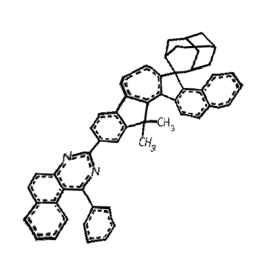 CC1(C)c2cc(-c3nc(-c4ccccc4)c4c(ccc5ccccc54)n3)ccc2-c2ccc3c(c21)-c1ccc2ccccc2c1C31C2CC3CC(C2)CC1C3